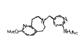 COc1ccc2c(n1)CCN(Cc1cnc(NC(C)=O)s1)CC2